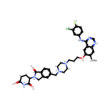 COc1cc2ncnc(Nc3ccc(F)c(Cl)c3)c2cc1OCCCN1CCN(Cc2ccc3c(c2)CN(C2CCC(=O)NC2=O)C3=O)CC1